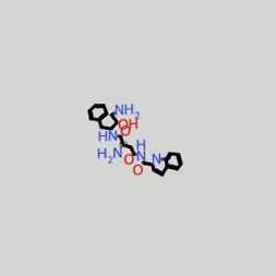 NCC(O)C(Cc1ccccc1)NC(=O)[C@@H](N)CC(=O)NC(=O)c1ccc2ccccc2n1